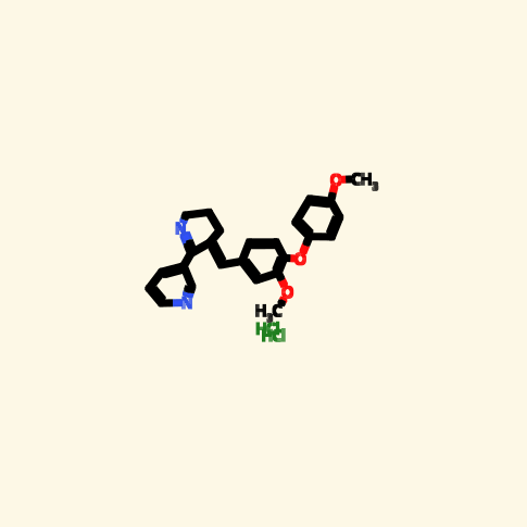 COc1ccc(Oc2ccc(C=C3CCCN=C3c3cccnc3)cc2OC)cc1.Cl.Cl